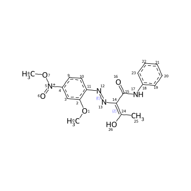 COc1cc([N+](=O)OC)ccc1/N=N/C(C(=O)Nc1ccccc1)=C(/C)O